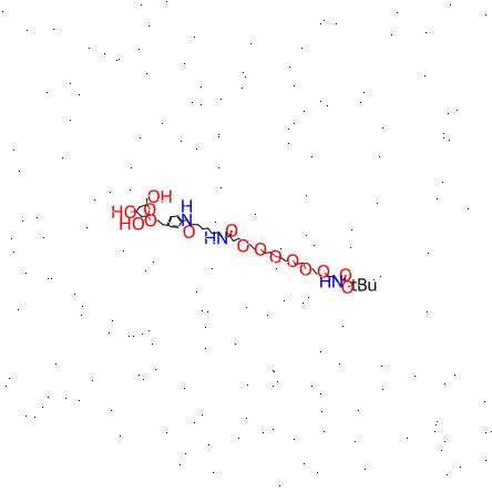 CC(C)(C)OC(=O)NCCOCCOCCOCCOCCOCCOCCC(=O)NCCCCCC(=O)Nc1ccc(CCO[C@@H]2O[C@H](CO)CC(O)[C@H]2O)cc1